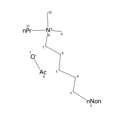 CC(=O)[O-].CCCCCCCCCCCCCC[N+](C)(C)CCC